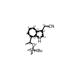 CC(O[Si](C)(C)C(C)(C)C)c1cccc2c(CC#N)c[nH]c12